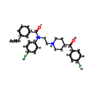 CC(=O)Nc1cccc(C(=O)N(CCN2CCC(C(=O)c3ccc(F)cc3)CC2)c2ccc(F)cc2)c1